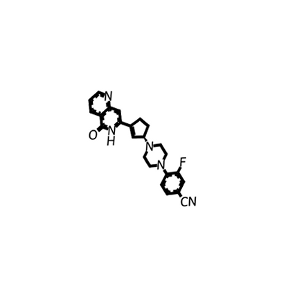 N#Cc1ccc(N2CCN([C@H]3C=C(c4cc5ncccc5c(=O)[nH]4)CC3)CC2)c(F)c1